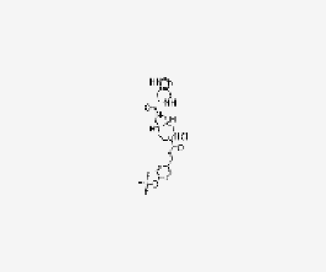 Cl.O=C(/C=C/c1ccc(OC(F)(F)F)cc1)N1CC[C@@H]2CN(C(=O)[C@@H]3Cc4[nH]cnc4CN3)C[C@@H]2CC1